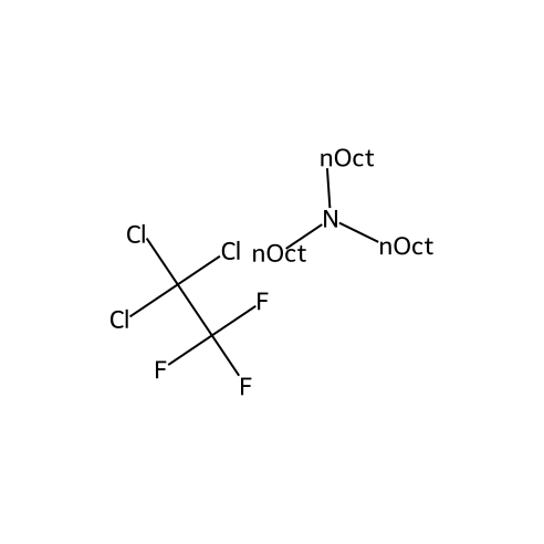 CCCCCCCCN(CCCCCCCC)CCCCCCCC.FC(F)(F)C(Cl)(Cl)Cl